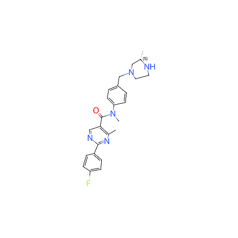 Cc1nc(-c2ccc(F)cc2)ncc1C(=O)N(C)c1ccc(CN2CCN[C@@H](C)C2)cc1